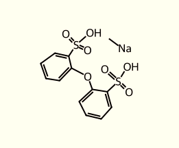 O=S(=O)(O)c1ccccc1Oc1ccccc1S(=O)(=O)O.[CH3][Na]